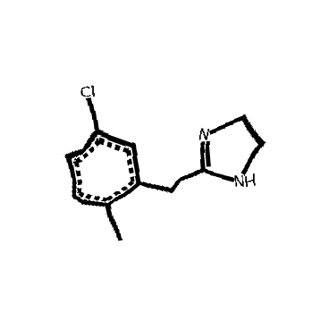 Cc1ccc(Cl)cc1CC1=NCCN1